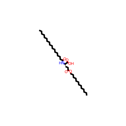 CCCCCCCCCCCCCCCCCC(=O)N[C@@H](CCC(=O)OCCCCCCCCCCCCC)C(=O)O